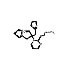 CCC/C=C1\N=CC=CN1C(C=O)(Cc1cccs1)Cc1cccs1